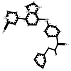 CC(Cc1ccccc1)C(=O)c1ccc(Nc2ccc(-c3cc[nH]c(=O)c3)n3ccnc23)cc1